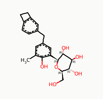 Cc1cc(Cc2ccc3c(c2)CC3)cc([C@@H]2O[C@H](CO)[C@@H](O)[C@H](O)[C@H]2O)c1O